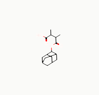 CC(C(=O)O)C(C)C(=O)OC1C2CC3CC(C2)CC1C3